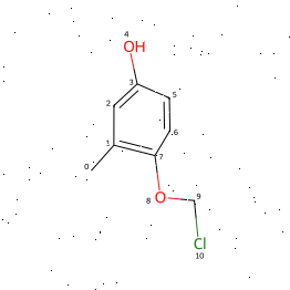 Cc1cc(O)ccc1OCCl